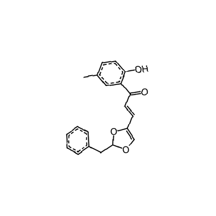 Cc1ccc(O)c(C(=O)C=CC2=COC(Cc3ccccc3)O2)c1